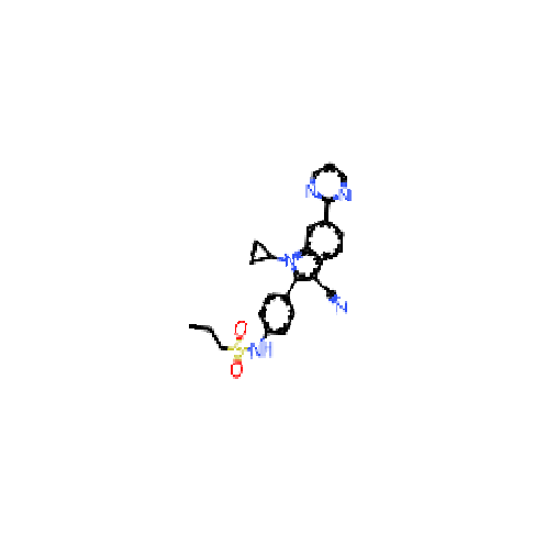 CCCS(=O)(=O)Nc1ccc(-c2c(C#N)c3ccc(-c4ncccn4)cc3n2C2CC2)cc1